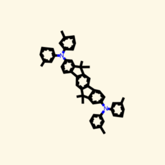 Cc1cccc(N(c2cccc(C)c2)c2ccc3c(c2)C(C)(C)c2cc4c(cc2-3)C(C)(C)c2cc(N(c3cccc(C)c3)c3cccc(C)c3)ccc2-4)c1